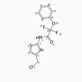 O=C(Nc1nc(CCl)cs1)C(F)(F)Oc1ccccc1